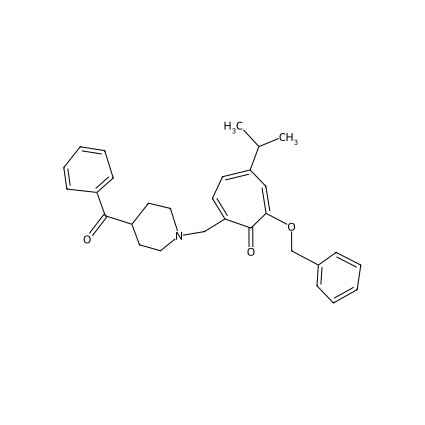 CC(C)c1ccc(CN2CCC(C(=O)c3ccccc3)CC2)c(=O)c(OCc2ccccc2)c1